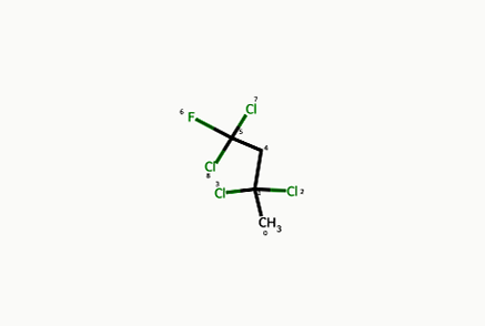 CC(Cl)(Cl)CC(F)(Cl)Cl